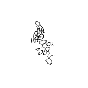 CCC1(CCc2cc(O)c(C(c3cccc(NS(=O)(=O)c4ncc5ccccc5n4)c3)C3CC3)c(=O)o2)C=CC=CC1